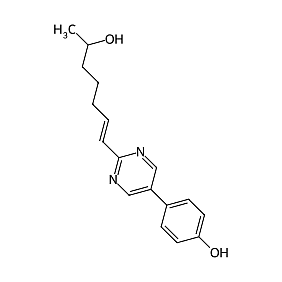 CC(O)CCCC=Cc1ncc(-c2ccc(O)cc2)cn1